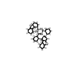 c1ccc(C2=NC(c3cccc4sc5ccccc5c34)NC(c3ccccc3-c3cccc4oc5ccccc5c34)=N2)cc1